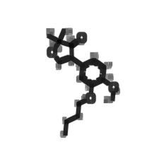 CCCCOc1cc(C2=COC(C)(C)C2=O)ccc1OC